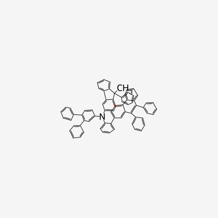 CC1(c2ccccc2)c2ccccc2-c2cc(N(c3ccc(-c4ccccc4)c(-c4ccccc4)c3)c3ccccc3-c3ccc4c(c3)c(-c3ccccc3)c(-c3ccccc3)c3ccccc34)ccc21